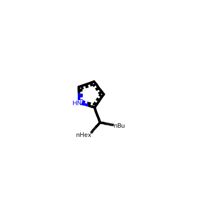 CCCCCCC(CCCC)c1ccc[nH]1